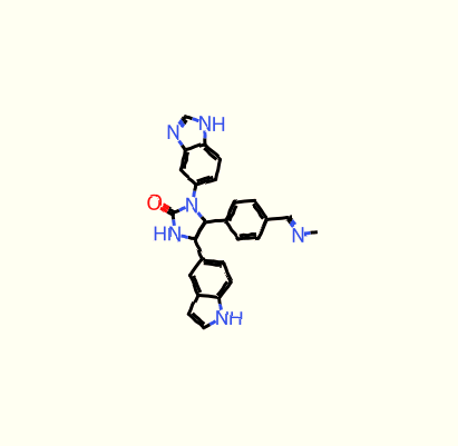 CN=Cc1ccc(C2C(c3ccc4[nH]ccc4c3)NC(=O)N2c2ccc3[nH]cnc3c2)cc1